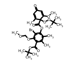 COCOc1c(Br)c(OC(=O)C2(OOC(C)(C)C)C(C)=CC(=O)C=C2OC)c(C)c(C)c1C(=O)OC(C)(C)C